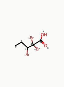 CCC(Br)C(Br)(Br)C(=O)O